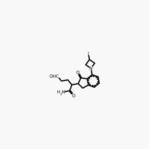 NC(=O)C(CCC=O)C1Cc2cccc(N3CC(I)C3)c2C1=O